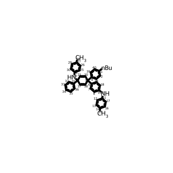 CCCCc1ccc(C2(c3ccc(Nc4ccc(C)cc4)cc3)C=CC(Nc3ccc(C)cc3)(c3ccccc3)C=C2)cc1